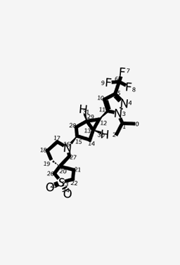 CC(C)n1nc(C(F)(F)F)cc1[C@H]1[C@@H]2C[C@@H](N3CCC[C@@]4(CCS(=O)(=O)C4)C3)C[C@@H]21